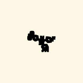 Cc1cc(-c2sc(-c3ccc(S(C)(=O)=O)cc3)nc2-c2ccc(F)cc2)ccn1